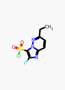 CCc1ccc2nc(F)c(S(=O)(=O)Cl)n2n1